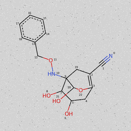 N#CC1=C2CC(O)C(O)C(NOCc3ccccc3)(C1)C(O)O2